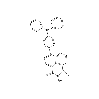 CCCN1C(=O)c2cccc3c(-c4ccc(N(c5ccccc5)c5ccccc5)cc4)ccc(c23)C1=O